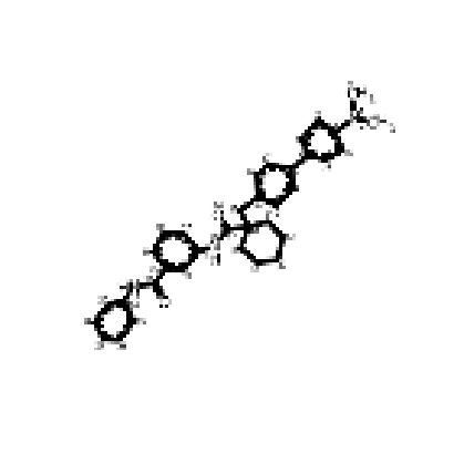 CN(C)c1ccc(-c2ccc(CC3(C(=O)Nc4cccc(C(=O)Nc5ccccc5)c4)CCCCC3)cc2)cc1